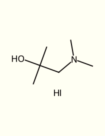 CN(C)CC(C)(C)O.I